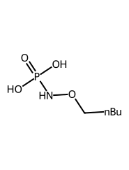 CCCCCONP(=O)(O)O